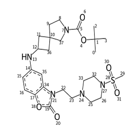 CC(C)(C)OC(=O)N1CCC2(CC(Nc3ccc4oc(=O)n(CCN5CCN(S(C)(=O)=O)CC5)c4c3)C2)C1